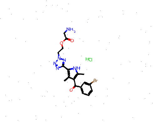 Cc1[nH]c(-c2nnn(CCOC(=O)CN)n2)c(C)c1C(=O)c1cccc(Br)c1.Cl